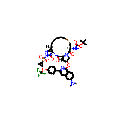 CN(C)c1ccc2c(O[C@@H]3C[C@H]4C(=O)N[C@]5(C(=O)NS(=O)(=O)C6CC6)C[C@H]5CCCCCSC[C@H](NC(=O)OC(C)(C)C)C(=O)N4C3)nc(-c3ccc(OC(F)(F)F)cc3)cc2c1